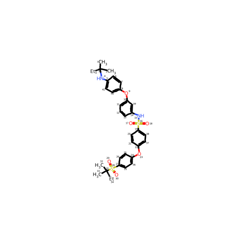 CCC(C)(C)Nc1ccc(Oc2cccc(NS(=O)(=O)c3ccc(Oc4ccc(S(=O)(=O)C(C)(C)CC)cc4)cc3)c2)cc1